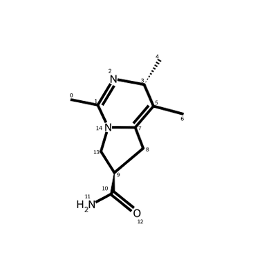 CC1=N[C@H](C)C(C)=C2C[C@@H](C(N)=O)CN12